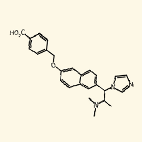 CC(C(c1ccc2cc(OCc3ccc(C(=O)O)cc3)ccc2c1)n1ccnc1)N(C)C